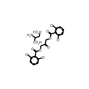 NC(CC(=O)O)C(=O)O.O=C(COC(=O)c1c(Cl)cccc1Cl)COC(=O)c1c(Cl)cccc1Cl